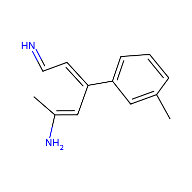 C/C(N)=C\C(=C/C=N)c1cccc(C)c1